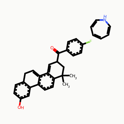 C1=CC=CNC=C1.CC1(C)CC(C(=O)c2ccc(F)cc2)C=c2c1ccc1c2=CCc2ccc(O)cc2-1